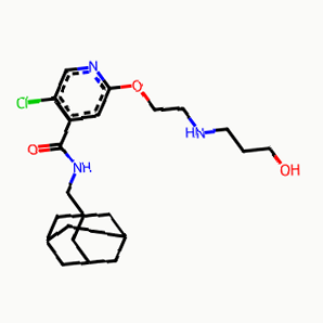 O=C(NCC12CC3CC(CC(C3)C1)C2)c1cc(OCCNCCCO)ncc1Cl